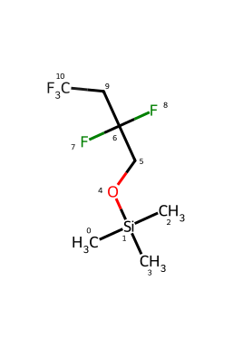 C[Si](C)(C)OCC(F)(F)CC(F)(F)F